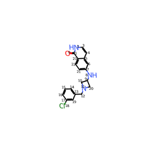 O=c1[nH]ccc2cc(NC3CN(Cc4cccc(Cl)c4)C3)ccc12